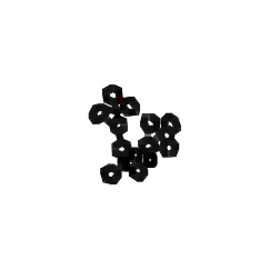 c1ccc2c(c#1)-c1cc(-c3ccc(N(c4ccccc4)c4cccc5c4Oc4cc6c(cc4O5)C4(c5ccccc5-c5ccccc54)c4ccccc4-6)cc3)ccc1C2(c1ccccc1)c1ccccc1